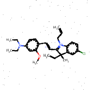 C=CC[N+]1=C(/C=C/c2ccc(N(CC)CC)cc2OC)C(C)(CC)c2cc(Cl)ccc21